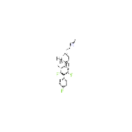 C/C=C/CC[C@@H]1CC[C@@H]2c3cc(F)c(-c4ccc(F)cc4)c(F)c3CC[C@@H]2C1